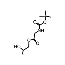 [CH2]C(O)COC(=O)CNC(=O)OC(C)(C)C